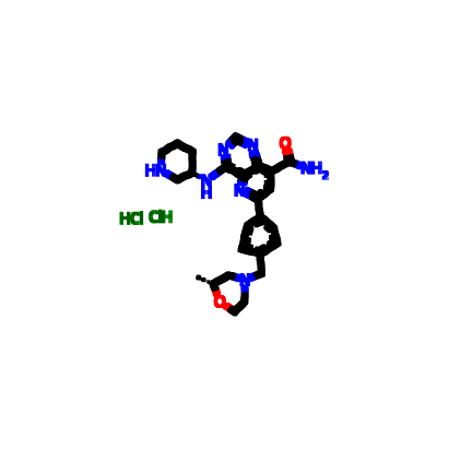 C[C@@H]1CN(Cc2ccc(-c3cc(C(N)=O)c4ncnc(N[C@H]5CCCNC5)c4n3)cc2)CCO1.Cl.Cl